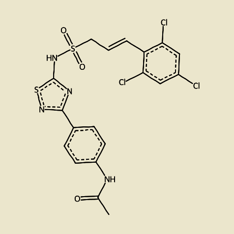 CC(=O)Nc1ccc(-c2nsc(NS(=O)(=O)CC=Cc3c(Cl)cc(Cl)cc3Cl)n2)cc1